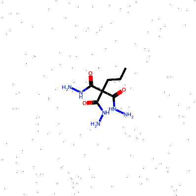 CCCC(C(=O)NN)(C(=O)NN)C(=O)NN